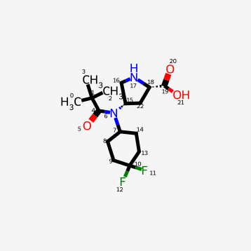 CC(C)(C)C(=O)N(C1CCC(F)(F)CC1)[C@@H]1CN[C@H](C(=O)O)C1